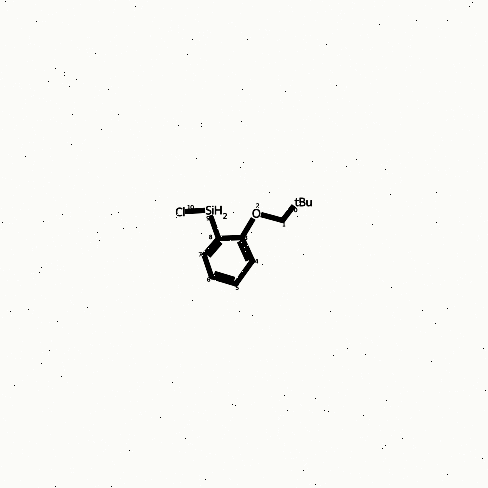 CC(C)(C)COc1ccccc1[SiH2]Cl